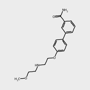 COCCNCCOc1ccc(-c2cccc(C(N)=O)c2)cc1